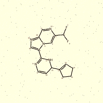 FC(F)c1cn2c(C3=NC=CC(C4=CCCC4)N3)cnc2cn1